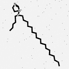 CCCCCCCCCCCCCCCCCCN(CCCCC)[N+]1(C)C=NCC1